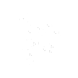 CC(C)(ON=C(C(=O)N[C@@H]1C(=O)N(S(=O)(=O)O)[C@H]1Cn1cc(CCN)nn1)c1csc(N)n1)C(=O)O